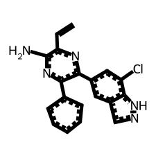 C=Cc1nc(-c2cc(Cl)c3[nH]ncc3c2)c(-c2ccccc2)nc1N